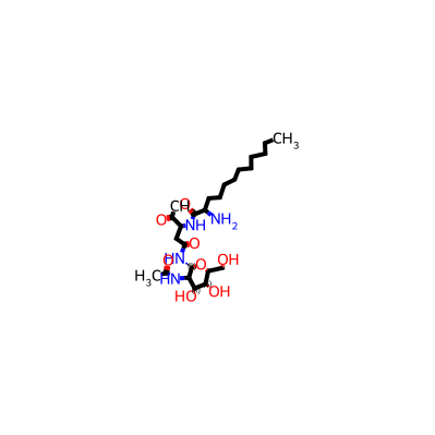 CCCCCCCCCCC(N)C(=O)NC(CC(=O)N[C@@H]1OC(CO)[C@@H](O)[C@H](O)C1NC(C)=O)C(C)=O